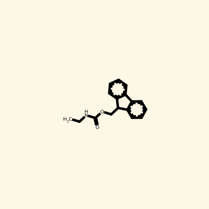 [CH2]CNC(=O)OCC1c2ccccc2-c2ccccc21